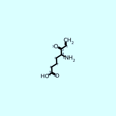 C=CC(=O)C(N)CCCC(=O)O